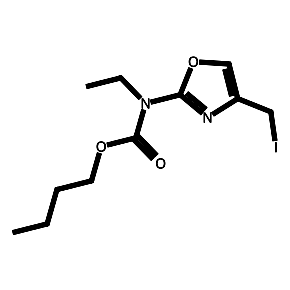 CCCCOC(=O)N(CC)c1nc(CI)co1